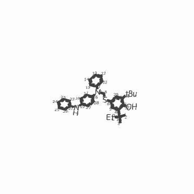 CCC(C)(C)c1cc(SCN(c2ccccc2)c2ccc(Nc3ccccc3)cc2)cc(C(C)(C)C)c1O